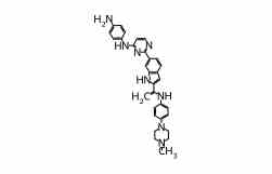 C=C(Nc1ccc(N2CCN(C)CC2)cc1)c1cc2ccc(-c3nccc(Nc4ccc(N)cc4)n3)cc2[nH]1